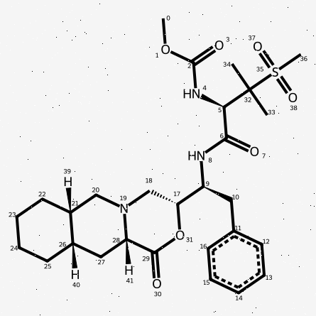 COC(=O)N[C@H](C(=O)N[C@@H](Cc1ccccc1)[C@H]1CN2C[C@H]3CCCC[C@H]3C[C@H]2C(=O)O1)C(C)(C)S(C)(=O)=O